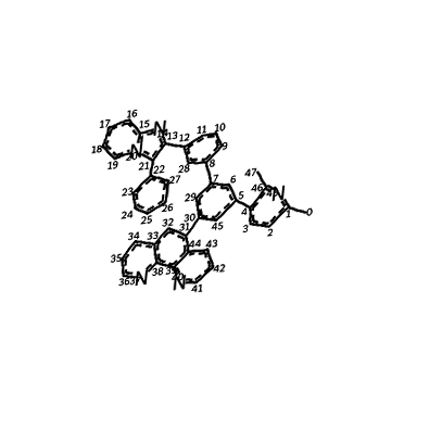 Cc1ccc(-c2cc(-c3cccc(-c4nc5ccccn5c4-c4ccccc4)c3)cc(-c3cc4cccnc4c4ncccc34)c2)c(C)n1